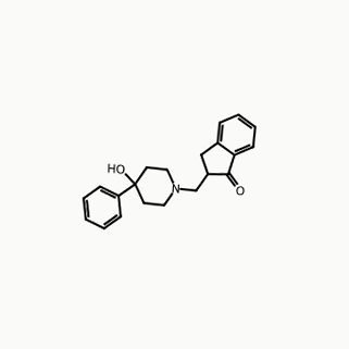 O=C1c2ccccc2CC1CN1CCC(O)(c2ccccc2)CC1